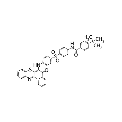 CC(C)(C)c1ccc(C(=O)Nc2ccc(S(=O)(=O)c3ccc(Nc4c5sc6ccccc6nc-5c5ccccc5c4=O)cc3)cc2)cc1